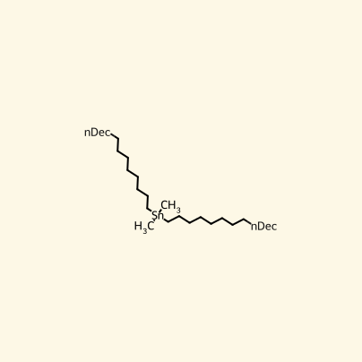 CCCCCCCCCCCCCCCCC[CH2][Sn]([CH3])([CH3])[CH2]CCCCCCCCCCCCCCCCC